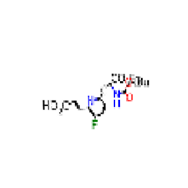 CCOC(=O)C(Cc1ccc(F)c(C=CC(=O)O)n1)NC(=O)OC(C)(C)C